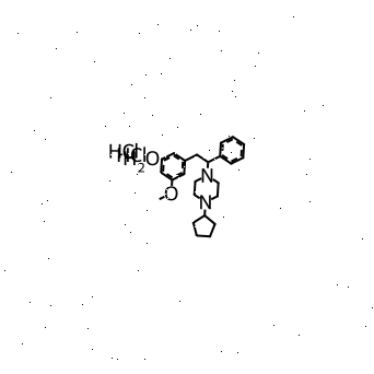 COc1cccc(CC(c2ccccc2)N2CCN(C3CCCC3)CC2)c1.Cl.Cl.O